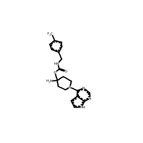 NC1(OC(=O)NCc2ccc(C(F)(F)F)cc2)CCN(c2ncnc3[nH]ccc23)CC1